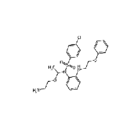 CC(OCCN)N(c1ccccc1NCCOc1ccccc1)S(=O)(=O)c1ccc(Cl)cc1